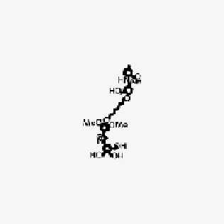 COc1cc(C2CC(c3cc(CO)c(CO)c(CO)c3)=NO2)cc(OC)c1OCCCCCCCCOc1ccc(C2NC(=O)c3cc(C)ccc3N2)cc1CO